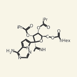 CCCCCCC(=O)OC[C@H]1O[C@@](C(C)=N)(c2ccc3c(N)ncnn23)[C@H](OC(=O)C(C)C)[C@@H]1OC(=O)C(C)C